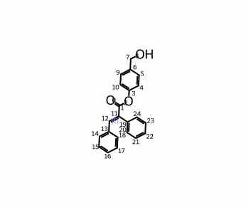 O=C(Oc1ccc(CO)cc1)/C(=C/c1ccccc1)c1ccccc1